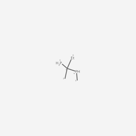 CCC(C)(P)PC